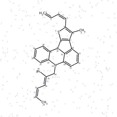 C=C/C=C\c1sc2c(c1C)-c1cccc3c1B2c1ccccc1N3C/C(=C/C=C\C)C(C)C